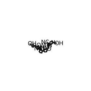 COc1nc(-c2cccc(-c3cccc(NC(=O)c4cc(C#N)c5c(n4)CN(CCO)CC5)c3Cl)c2Cl)cnc1CN1CCC(CO)C1